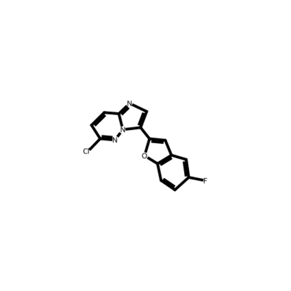 Fc1ccc2oc(-c3cnc4ccc(Cl)nn34)cc2c1